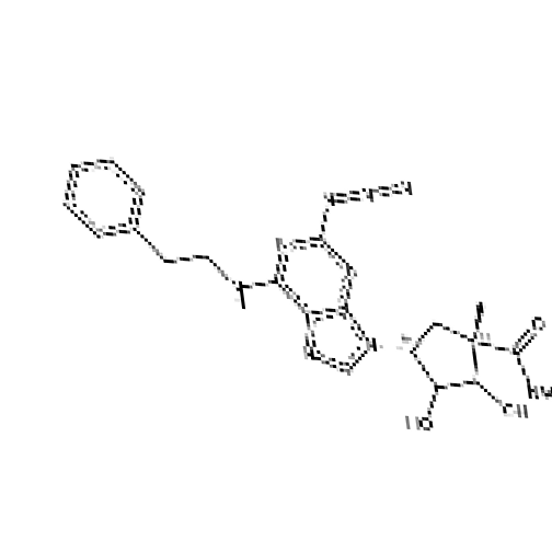 CNC(=O)[C@@]1(C)C[C@@H](n2cnc3c(NCCc4ccccc4)nc(N=[N+]=[N-])nc32)C(O)C1O